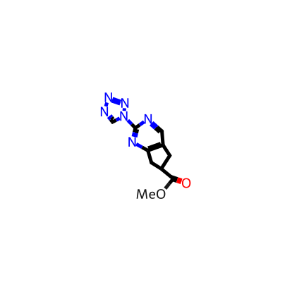 COC(=O)C1Cc2cnc(-n3cnnn3)nc2C1